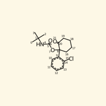 CC(C)(C)NC(=O)OC1(c2ccccc2Cl)CCCCC1=O